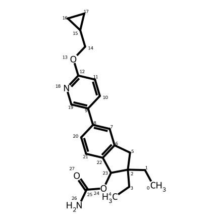 CCC1(CC)Cc2cc(-c3ccc(OCC4CC4)nc3)ccc2C1OC(N)=O